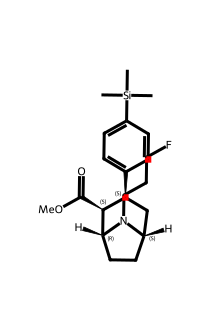 COC(=O)[C@H]1[C@@H](c2ccc([Si](C)(C)C)cc2)C[C@@H]2CC[C@H]1N2CCCF